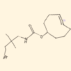 CC(C)CC(C)(C)CNC(=O)OC1CC/C=C/CCC1